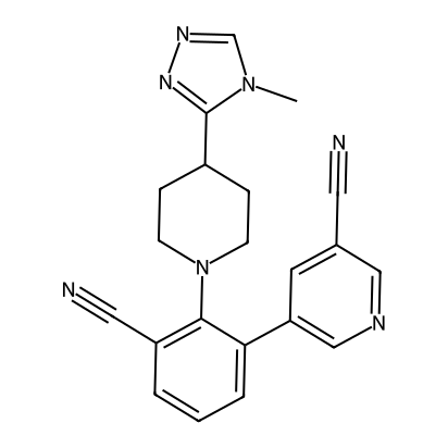 Cn1cnnc1C1CCN(c2c(C#N)cccc2-c2cncc(C#N)c2)CC1